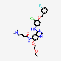 CCOCCOc1cc2ncnc(Nc3ccc(OCc4cccc(F)c4)c(Cl)c3)c2cc1NC(=O)C=CCN(C)C